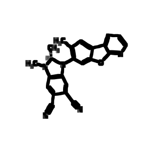 Cc1cc2c(cc1N1c3cc(C#N)c(C#N)cc3N(C)[C@@H]1C)oc1ncccc12